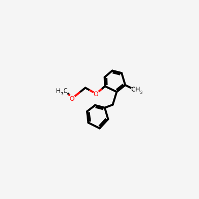 COCOc1cccc(C)c1Cc1ccccc1